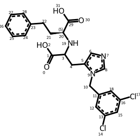 O=C(O)C(Cc1cncn1Cc1cc(Cl)cc(Cl)c1)N[C@@H](CCc1ccccc1)C(=O)O